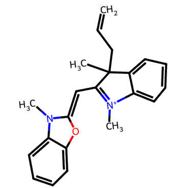 C=CCC1(C)C(/C=C2\Oc3ccccc3N2C)=[N+](C)c2ccccc21